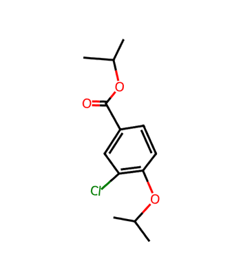 CC(C)OC(=O)c1ccc(OC(C)C)c(Cl)c1